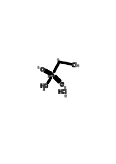 Cl.O=S(=O)(O)CCl